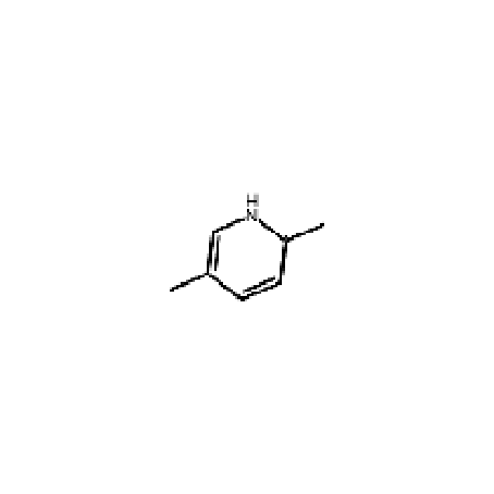 C[C]1C=CC(C)=CN1